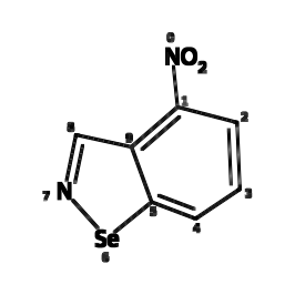 O=[N+]([O-])c1cccc2[se]ncc12